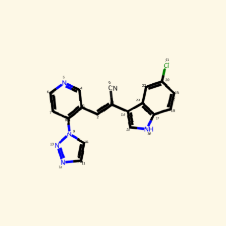 N#C/C(=C\c1cnccc1-n1ccnn1)c1c[nH]c2ccc(Cl)cc12